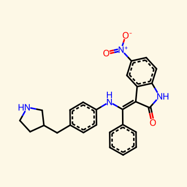 O=C1Nc2ccc([N+](=O)[O-])cc2C1=C(Nc1ccc(CC2CCNC2)cc1)c1ccccc1